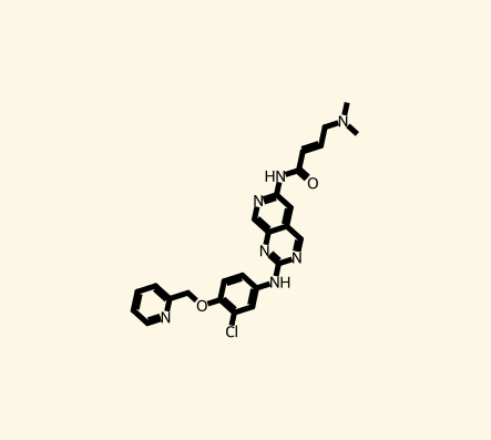 CN(C)CC=CC(=O)Nc1cc2cnc(Nc3ccc(OCc4ccccn4)c(Cl)c3)nc2cn1